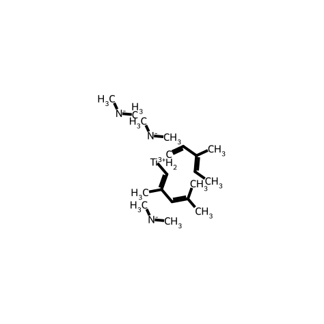 C=CC(C)=CC.CC(C)=CC(C)=[CH][Ti+3].C[N-]C.C[N-]C.C[N-]C